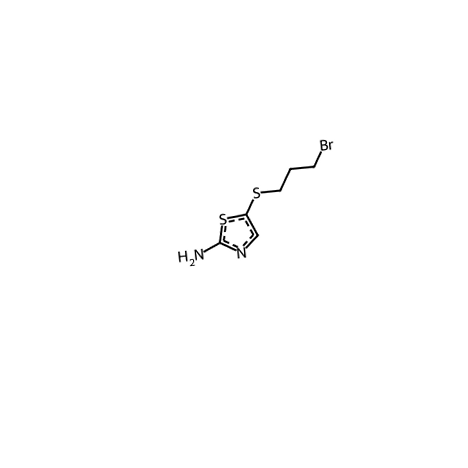 Nc1ncc(SCCCBr)s1